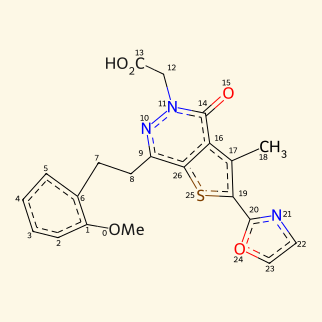 COc1ccccc1CCc1nn(CC(=O)O)c(=O)c2c(C)c(-c3ncco3)sc12